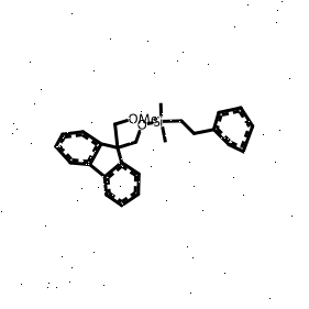 COCC1(CO[Si](C)(C)CCc2ccccc2)c2ccccc2-c2ccccc21